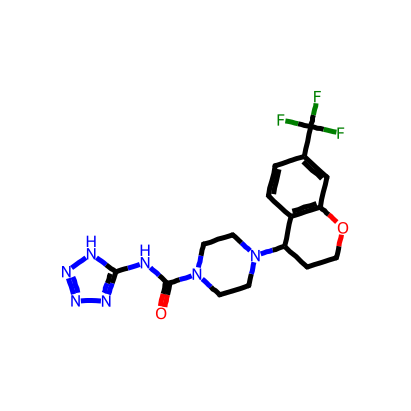 O=C(Nc1nnn[nH]1)N1CCN(C2CCOc3cc(C(F)(F)F)ccc32)CC1